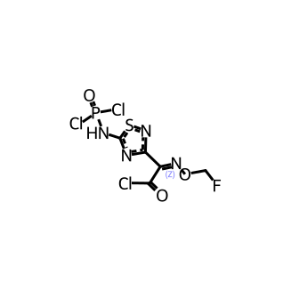 O=C(Cl)/C(=N\OCF)c1nsc(NP(=O)(Cl)Cl)n1